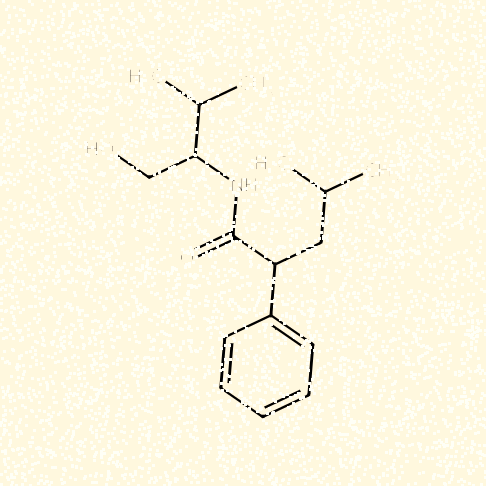 CC(C)CC(C(=O)NC(CO)C(C)C)c1ccccc1